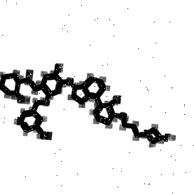 N#Cc1cncc(COc2cc(O[C@H]3CCc4c(-c5cccc(OCCCN6CC(F)C6)c5Cl)cccc43)c(Cl)cc2CN[C@@H]2CCCC[C@@H]2O)c1